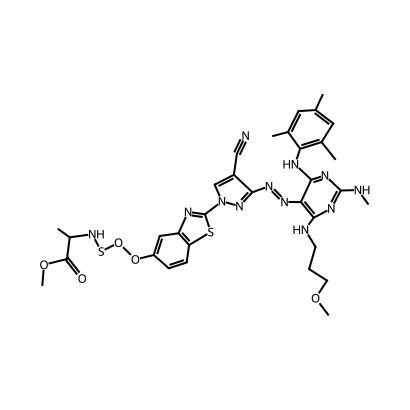 CNc1nc(NCCCOC)c(N=Nc2nn(-c3nc4cc(OOSNC(C)C(=O)OC)ccc4s3)cc2C#N)c(Nc2c(C)cc(C)cc2C)n1